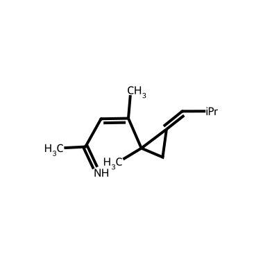 CC(=N)/C=C(/C)C1(C)C/C1=C\C(C)C